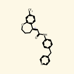 O=C(/C=C1\CCCOc2cc(C(F)(F)F)ccc21)Nc1ccc(Cc2ccncc2)cc1